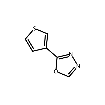 [c]1nnc(-c2ccsc2)o1